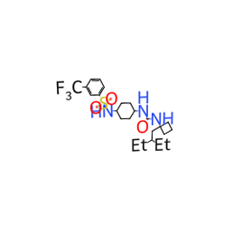 CCC(CC)CC1(NC(=O)NC2CCC(NS(=O)(=O)c3cccc(C(F)(F)F)c3)CC2)CCC1